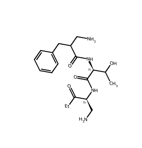 CCC(=O)[C@H](CN)NC(=O)[C@@H](NC(=O)C(CN)Cc1ccccc1)C(C)O